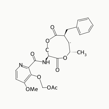 COc1ccnc(C(=O)N[C@H]2COC(=O)[C@@H](Cc3ccccc3)[CH][C@H](C)OC2=O)c1OCOC(C)=O